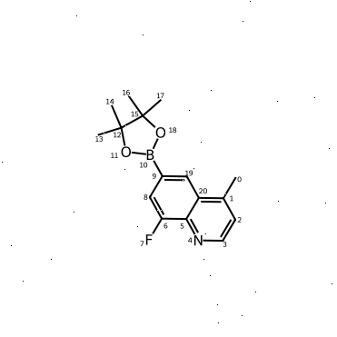 Cc1ccnc2c(F)cc(B3OC(C)(C)C(C)(C)O3)cc12